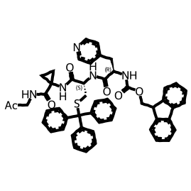 CC(=O)CNC(=O)C1(NC(=O)[C@@H](CSC(c2ccccc2)(c2ccccc2)c2ccccc2)NC(=O)[C@@H](Cc2ccncc2)NC(=O)OCC2c3ccccc3-c3ccccc32)CC1